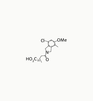 COc1cc(Cl)c2c(c1C)CN(C(=O)C[C@H](C)C(=O)O)C2